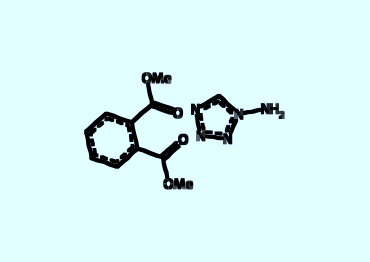 COC(=O)c1ccccc1C(=O)OC.Nn1cnnn1